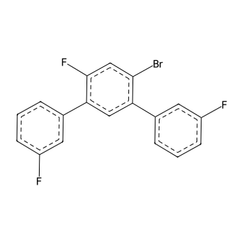 Fc1cccc(-c2cc(-c3cccc(F)c3)c(Br)cc2F)c1